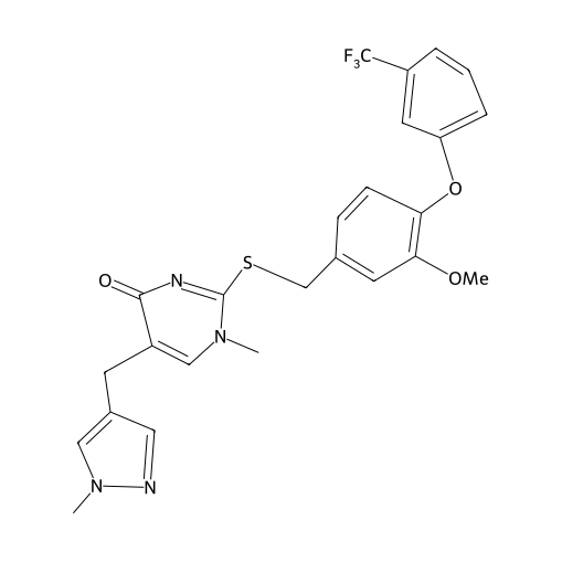 COc1cc(CSc2nc(=O)c(Cc3cnn(C)c3)cn2C)ccc1Oc1cccc(C(F)(F)F)c1